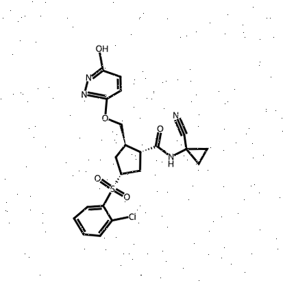 N#CC1(NC(=O)[C@@H]2C[C@H](S(=O)(=O)c3ccccc3Cl)C[C@H]2COc2ccc(O)nn2)CC1